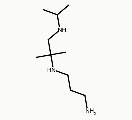 CC(C)NCC(C)(C)NCCCN